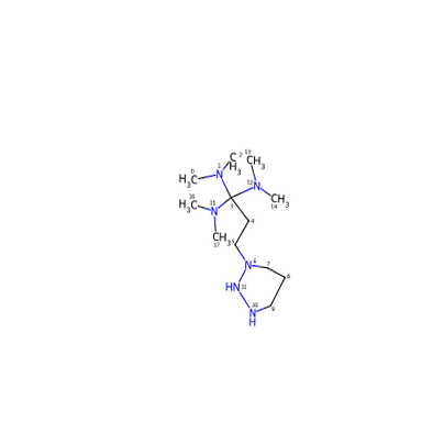 CN(C)C(CCN1CCCNN1)(N(C)C)N(C)C